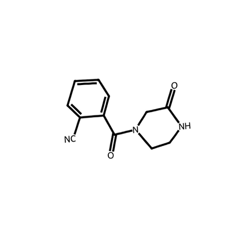 N#Cc1ccccc1C(=O)N1CCNC(=O)C1